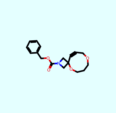 O=C(OCc1ccccc1)N1CC2(C#CCOCCCO2)C1